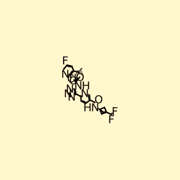 C[C@@H](OC(=O)Nc1c(-c2ccc(C(=O)NC34CC(C(F)F)(C3)C4)cn2)nnn1C)c1cc(F)cnc1Cl